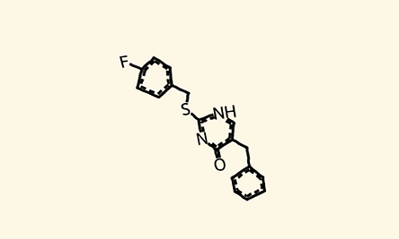 O=c1nc(SCc2ccc(F)cc2)[nH]cc1Cc1ccccc1